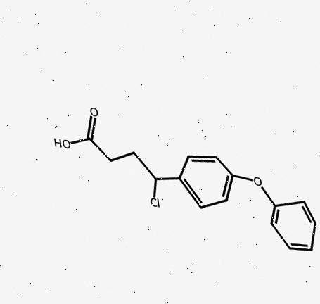 O=C(O)CCC(Cl)c1ccc(Oc2ccccc2)cc1